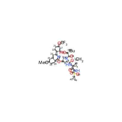 C=C[C@@H]1C[C@]1(NC(=O)[C@@H]1C[C@@H](Oc2nc(-c3ccc(OC(F)(F)F)cc3)cc3cc(OC)ccc23)CN1C(=O)[C@@H](O)[C@@H](C)CC)C(=O)NS(=O)(=O)C1CC1